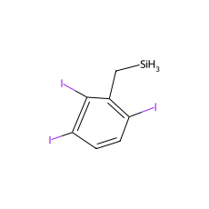 [SiH3]Cc1c(I)ccc(I)c1I